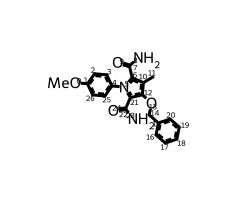 COc1ccc(-n2c(C(N)=O)c(C)c(OCc3ccccc3)c2C(N)=O)cc1